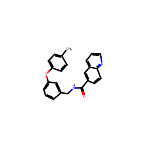 Cc1ccc(Oc2cccc(CNC(=O)c3ccc4ncccc4c3)c2)cc1